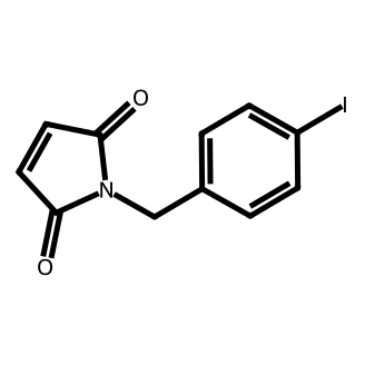 O=C1C=CC(=O)N1Cc1ccc(I)cc1